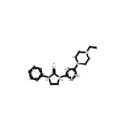 CCN1CCN(c2nnc(N3CCN(c4ccccc4)C3=O)s2)CC1